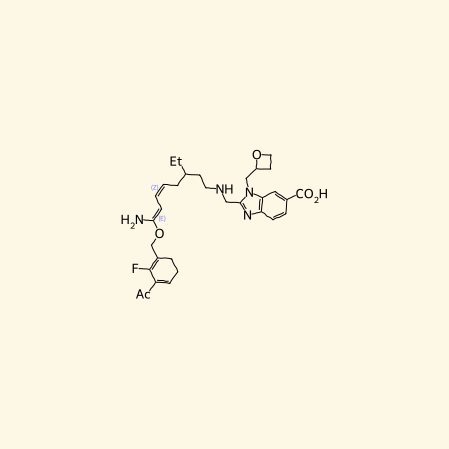 CCC(C/C=C\C=C(/N)OCC1=C(F)C(C(C)=O)=CCC1)CCNCc1nc2ccc(C(=O)O)cc2n1CC1CCO1